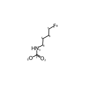 [O]C(=O)NCCCCF